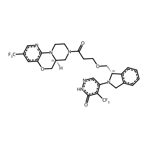 O=C(CCOC[C@@H]1c2ccccc2CN1c1cn[nH]c(=O)c1C(F)(F)F)N1CCN2c3ncc(C(F)(F)F)cc3OC[C@@H]2C1